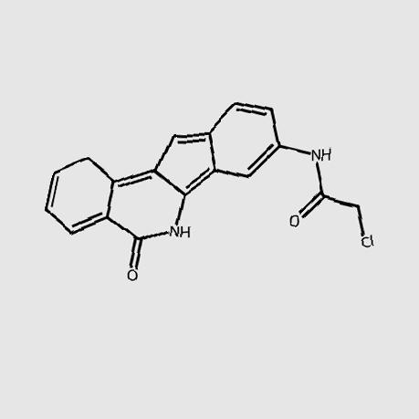 O=C(CCl)Nc1ccc2c(c1)=c1[nH]c(=O)c3c(c1C=2)CC=CC=3